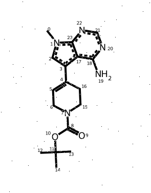 Cn1cc(C2=CCN(C(=O)OC(C)(C)C)CC2)c2c(N)ncnc21